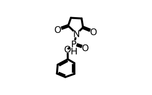 O=C1CCC(=O)N1[PH](=O)Oc1ccccc1